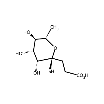 C[C@@H]1O[C@](S)(CCC(=O)O)[C@H](O)[C@H](O)[C@H]1O